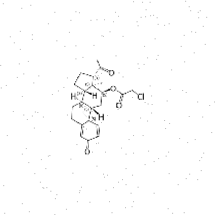 CC(=O)[C@H]1CC[C@H]2[C@@H]3CCC4=CC(=O)C=C[C@]4(C)[C@H]3C[C@H](OC(=O)CCl)[C@]12C